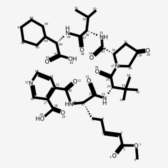 COC(=O)/C=C/CC[C@H](NC(=O)c1ccncc1C(=O)O)C(=O)N[C@H](C(=O)N1CC(=O)C[C@H]1C(=O)N[C@H](C(=O)N[C@H](C(=O)O)C1CCCCC1)C(C)C)C(C)(C)C